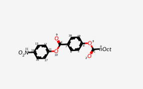 CCCCCCCCC(=O)Oc1ccc(C(=O)Oc2ccc([N+](=O)[O-])cc2)cc1